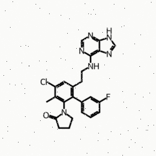 Cc1c(Cl)cc(CCNc2ncnc3[nH]cnc23)c(-c2cccc(F)c2)c1N1CCCC1=O